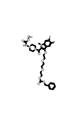 Cn1c(C(=O)N2CCN(NC(=O)OC(C)(C)C)CC2)c(OCCOCCOCCOC(=O)OCc2ccccc2)c2cc(F)c(F)cc21